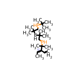 C=C/C(=C\C)C(C)(C)PCC(C)(C)BC(C)(C)CPC(C)(C)C